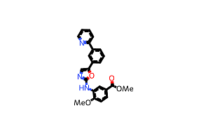 COC(=O)c1ccc(OC)c(Nc2ncc(-c3cccc(-c4ccccn4)c3)o2)c1